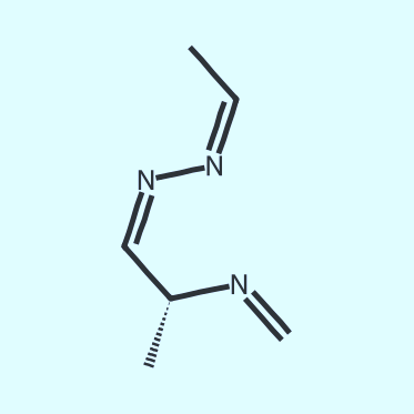 C=N[C@H](C)/C=N\N=C/C